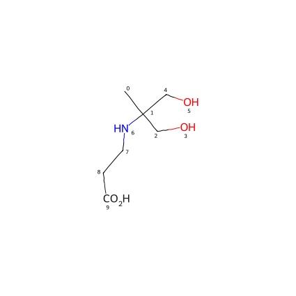 CC(CO)(CO)NCCC(=O)O